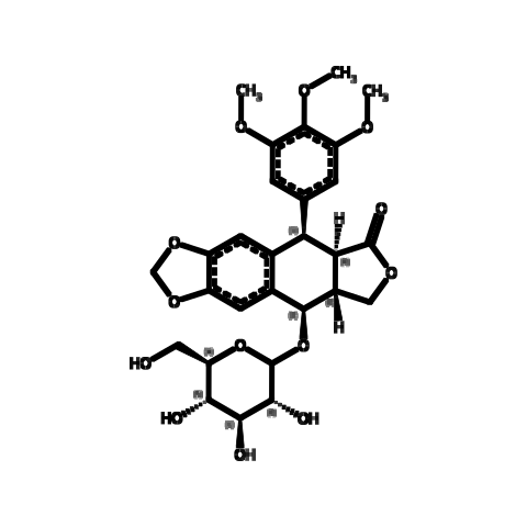 COc1cc([C@@H]2c3cc4c(cc3[C@H](OC3O[C@H](CO)[C@@H](O)[C@H](O)[C@H]3O)[C@H]3COC(=O)[C@H]23)OCO4)cc(OC)c1OC